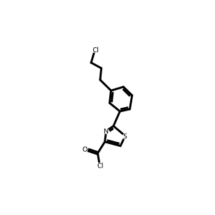 O=C(Cl)c1csc(-c2cccc(CCCCl)c2)n1